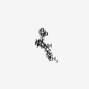 CN1CCN(c2ccc(Nc3cc(NCCCN4CCCOCC4=O)c(C(F)(F)F)cn3)cc2)CC1